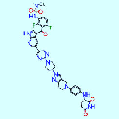 CCN(C)S(=O)(=O)Nc1ccc(F)c(C(=O)c2c[nH]c3ncc(-c4cnc(N5CCC(n6cc7c(n6)CCN(c6ccc(NC8CCC(=O)NC8=O)cc6)C7)CC5)nc4)cc23)c1F